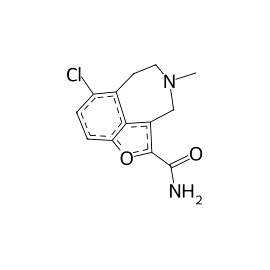 CN1CCc2c(Cl)ccc3oc(C(N)=O)c(c23)C1